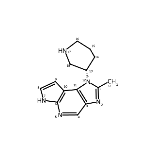 Cc1nc2cnc3[nH]ccc3c2n1[C@H]1CCCNC1